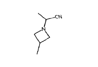 CC1CN(C(C)C#N)C1